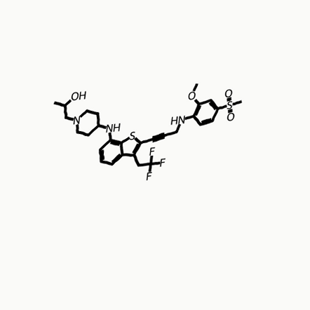 COc1cc(S(C)(=O)=O)ccc1NCC#Cc1sc2c(NC3CCN(CC(C)O)CC3)cccc2c1CC(F)(F)F